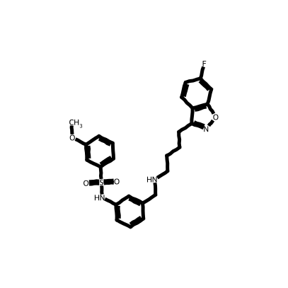 COc1cccc(S(=O)(=O)Nc2cccc(CNCCCCc3noc4cc(F)ccc34)c2)c1